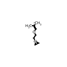 CC(C)=COCCN1CC1